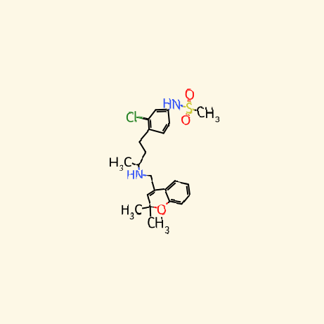 CC(CCc1ccc(NS(C)(=O)=O)cc1Cl)NCC1=CC(C)(C)Oc2ccccc21